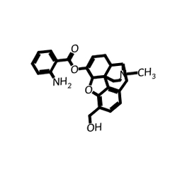 CN1CCC23c4c5ccc(CO)c4OC2C(OC(=O)c2ccccc2N)=CCC3C1C5